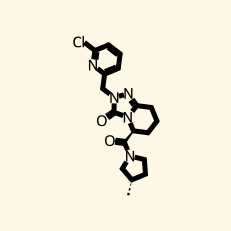 C[C@H]1CCN(C(=O)[C@@H]2CCCc3nn(Cc4cccc(Cl)n4)c(=O)n32)C1